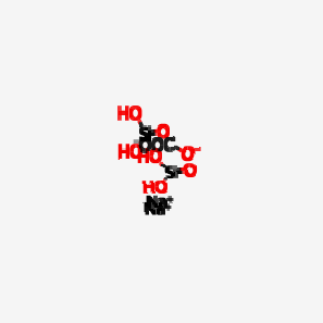 O=C([O-])[O-].O=[Si](O)O.O=[Si](O)O.[Na+].[Na+]